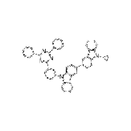 c1ccc(-c2nc(-c3ccccc3)nc(-c3cccc(-n4c5ccccc5c5cc(-c6ccc7c(c6)c6ccccc6n7C6CC6)ccc54)c3)n2)cc1